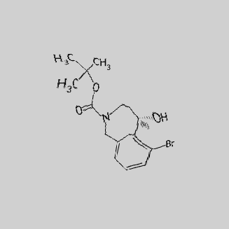 CC(C)(C)OC(=O)N1Cc2cccc(Br)c2[C@@H](O)C1